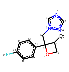 CCC1COC1(Cn1cncn1)c1ccc(F)cc1